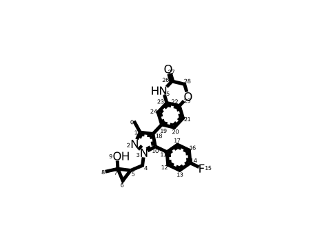 Cc1nn(CC2CC2(C)O)c(-c2ccc(F)cc2)c1-c1ccc2c(c1)NC(=O)CO2